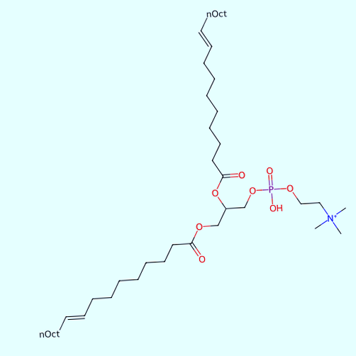 CCCCCCCC/C=C/CCCCCCCC(=O)OCC(COP(=O)(O)OCC[N+](C)(C)C)OC(=O)CCCCCCC/C=C/CCCCCCCC